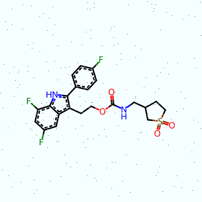 O=C(NCC1CCS(=O)(=O)C1)OCCc1c(-c2ccc(F)cc2)[nH]c2c(F)cc(F)cc12